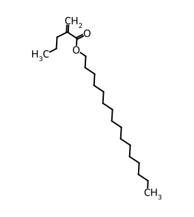 C=C(CCC)C(=O)OCCCCCCCCCCCCCCCC